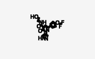 O=C(NCCO)c1cc(-c2ccc(OC(F)F)cc2)nn(-c2cn[nH]c2)c1=O